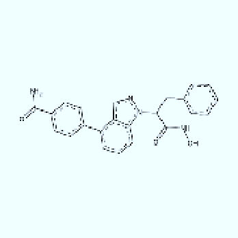 NC(=O)c1ccc(-c2cccc3c2cnn3C(Cc2ccccc2)C(=O)NO)cc1